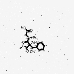 COC(=O)[C@@](N)(C(=O)[C@@H](N)CC(=O)O)[C@@H](O)c1ccccc1